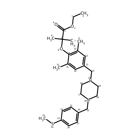 CCOC(=O)C(C)(C)Oc1c(C)cc(CN2CCN(Cc3ccc(SC)cc3)CC2)cc1C